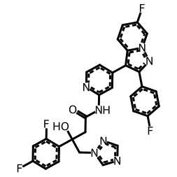 O=C(CC(O)(Cn1cncn1)c1ccc(F)cc1F)Nc1cc(-c2c(-c3ccc(F)cc3)nn3cc(F)ccc23)ccn1